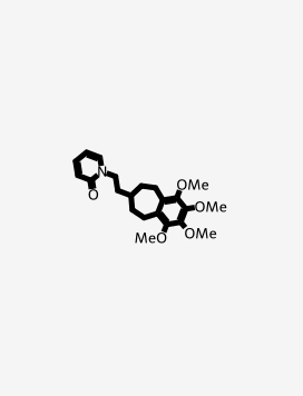 COc1c2c(c(OC)c(OC)c1OC)CCC(CCn1ccccc1=O)CC2